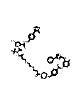 Cc1ccc(NC(=O)c2ccc(CN3CCN(C(=O)CCOCCOCCC(=O)N[C@H](C(=O)N4C[C@H](O)C[C@H]4C(=O)NCc4ccc(-c5scnc5C)cc4)C(C)(C)C)CC3)cc2)cc1Nc1nc(-c2cccnc2)cs1